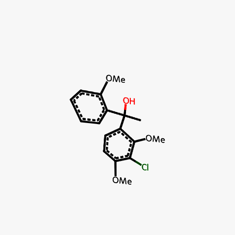 COc1ccccc1C(C)(O)c1ccc(OC)c(Cl)c1OC